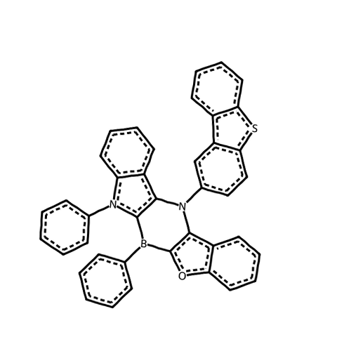 c1ccc(B2c3oc4ccccc4c3N(c3ccc4sc5ccccc5c4c3)c3c2n(-c2ccccc2)c2ccccc32)cc1